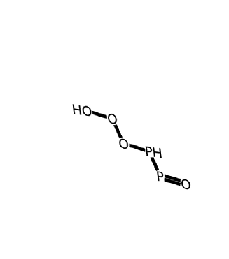 O=PPOOO